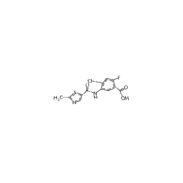 Cc1ncc(C(=O)Nc2cc(C(=O)O)c(F)cc2Cl)s1